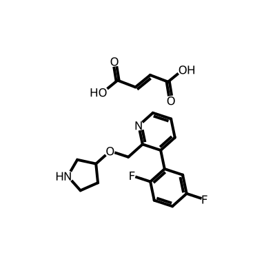 Fc1ccc(F)c(-c2cccnc2COC2CCNC2)c1.O=C(O)C=CC(=O)O